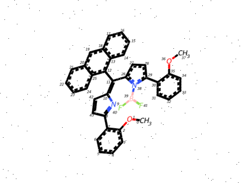 COc1ccccc1C1=N/C(=C(/c2c3ccccc3cc3ccccc23)c2ccc(-c3ccccc3OC)n2B(F)F)C=C1